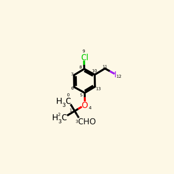 CC(C)(C=O)Oc1ccc(Cl)c(CI)c1